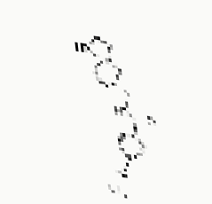 O=C(NCc1ccc2[nH]ccc2c1)c1ccc(OCC(F)(F)F)cc1